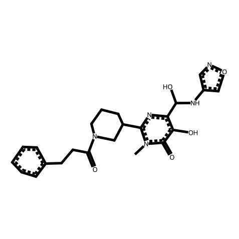 Cn1c(C2CCCN(C(=O)CCc3ccccc3)C2)nc(C(O)Nc2cnoc2)c(O)c1=O